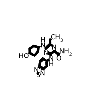 CCc1nc(C(N)=O)c(Nc2ccc3nsnc3c2)nc1N[C@H]1CC[C@H](O)CC1